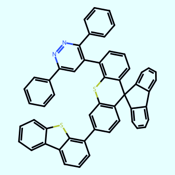 c1ccc(-c2cc(-c3cccc4c3Sc3cc(-c5cccc6c5sc5ccccc56)ccc3C43c4ccccc4-c4ccccc43)c(-c3ccccc3)nn2)cc1